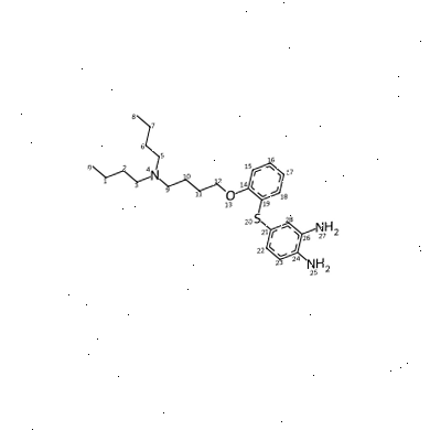 CCCCN(CCCC)CCCCOc1ccccc1Sc1ccc(N)c(N)c1